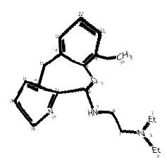 CCN(CC)CCNC1Oc2c(C)cccc2Cc2cccnc21